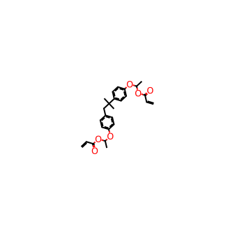 C=CC(=O)OC(C)Oc1ccc(CC(C)(C)c2ccc(OC(C)OC(=O)C=C)cc2)cc1